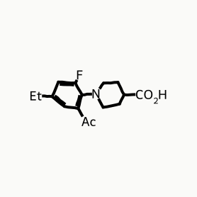 CCc1cc(F)c(N2CCC(C(=O)O)CC2)c(C(C)=O)c1